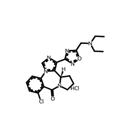 CCN(CC)Cc1nc(-c2ncn3c2[C@@H]2CCCN2C(=O)c2c(Cl)cccc2-3)no1.Cl